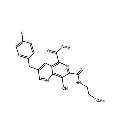 COCCNC(=O)c1nc(C(=O)OC)c2cc(Cc3ccc(F)cc3)cnc2c1O